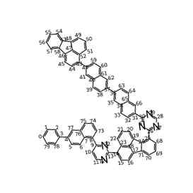 c1ccc(-c2ccc3c(-c4ccnc(-c5ccc6c7c(cccc57)-c5c(-c7ncnc(-c8ccc9cc(-c%10ccc%11cc(-c%12ccc%13c%14c(cccc%12%14)-c%12ccccc%12-%13)ccc%11c%10)ccc9c8)n7)cccc5-6)n4)cccc3c2)cc1